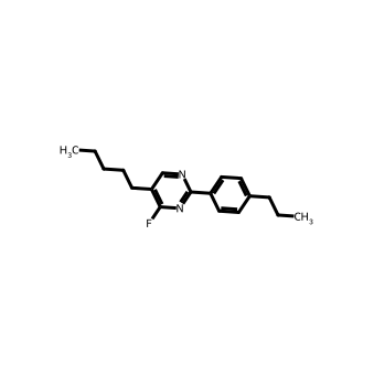 CCCCCc1cnc(-c2ccc(CCC)cc2)nc1F